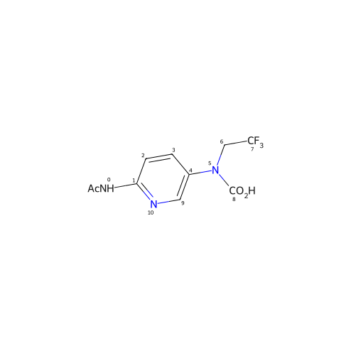 CC(=O)Nc1ccc(N(CC(F)(F)F)C(=O)O)cn1